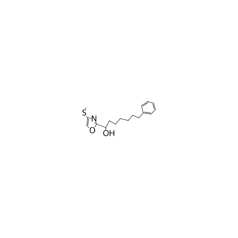 CSc1coc(C(O)CCCCCCc2ccccc2)n1